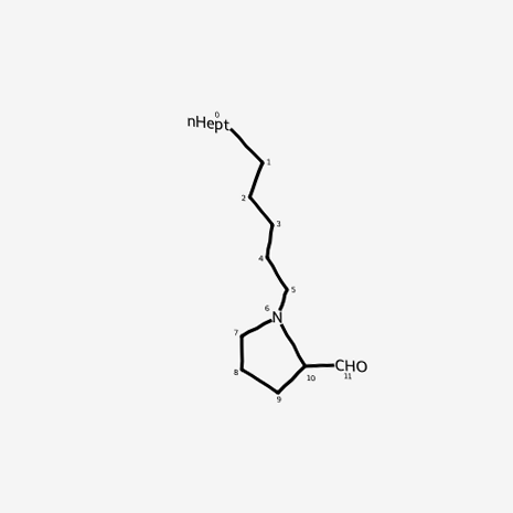 CCCCCCCCCCCCN1CCCC1C=O